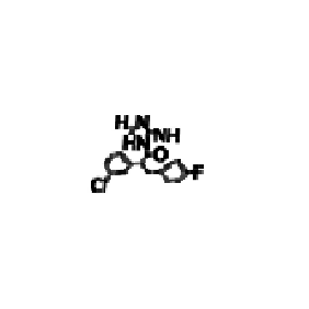 N=C(N)NC(=O)C(Cc1ccc(F)cc1)c1cccc(Cl)c1